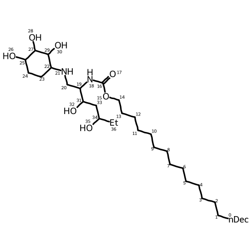 CCCCCCCCCCCCCCCCCCCCCCCCOC(=O)NC(CNC1CCC(O)C(O)C1O)C(O)CC(O)CC